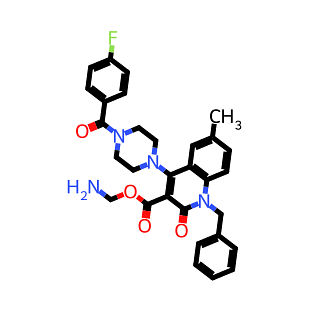 Cc1ccc2c(c1)c(N1CCN(C(=O)c3ccc(F)cc3)CC1)c(C(=O)OCN)c(=O)n2Cc1ccccc1